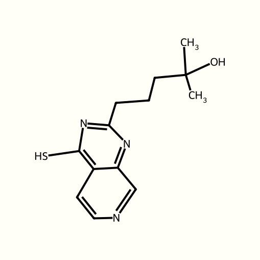 CC(C)(O)CCCc1nc(S)c2ccncc2n1